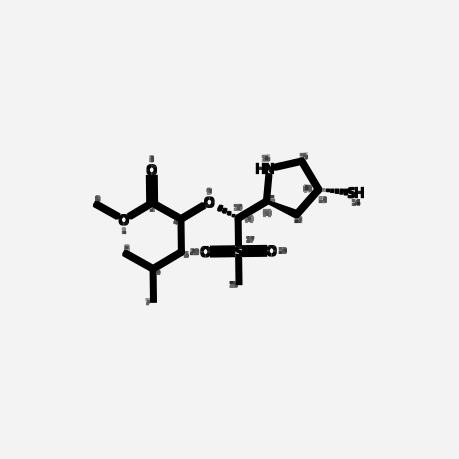 COC(=O)C(CC(C)C)O[C@H]([C@@H]1C[C@@H](S)CN1)S(C)(=O)=O